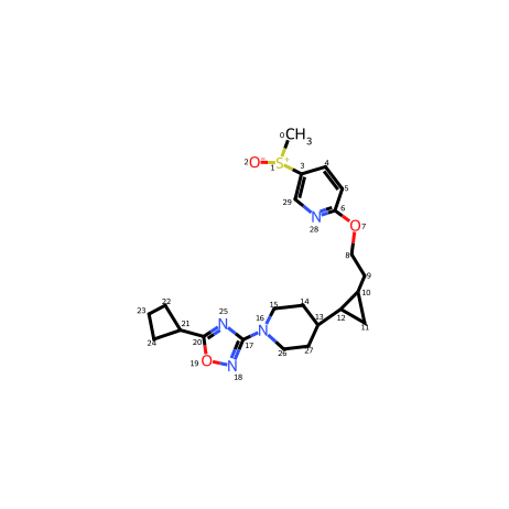 C[S+]([O-])c1ccc(OCCC2CC2C2CCN(c3noc(C4CCC4)n3)CC2)nc1